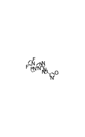 COc1cncc(-c2cnn(-c3cnn4ccc(N5CCC[C@@H]5c5nc(F)ccc5F)nc34)c2)c1